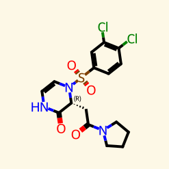 O=C1NC=CN(S(=O)(=O)c2ccc(Cl)c(Cl)c2)[C@@H]1CC(=O)N1CCCC1